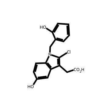 O=C(O)Cc1c(Cl)n(Cc2ccccc2O)c2ccc(O)cc12